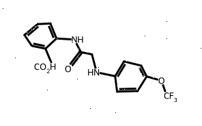 O=C(CNc1ccc(OC(F)(F)F)cc1)Nc1ccccc1C(=O)O